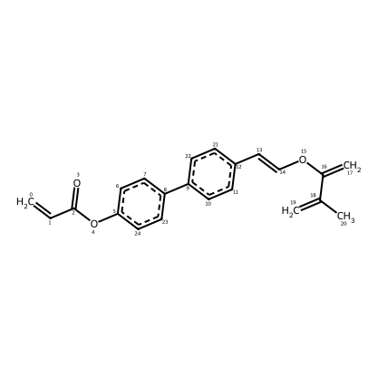 C=CC(=O)Oc1ccc(-c2ccc(/C=C/OC(=C)C(=C)C)cc2)cc1